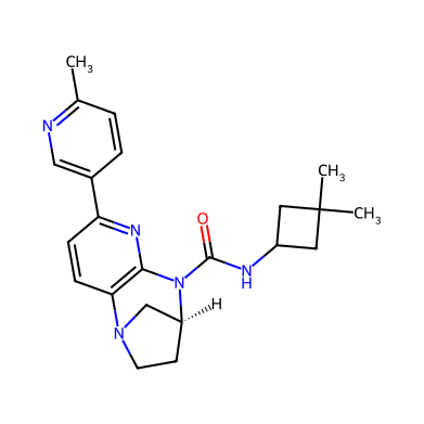 Cc1ccc(-c2ccc3c(n2)N(C(=O)NC2CC(C)(C)C2)[C@H]2CCN3C2)cn1